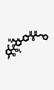 CC(Oc1ccc(-c2ccc(NC(=O)NCCN3CCCC3)cc2)nc1N)c1c(F)ccc(F)c1Cl